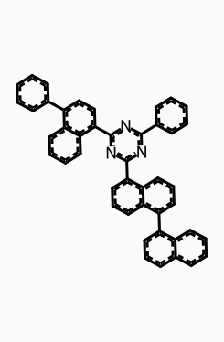 c1ccc(-c2nc(-c3ccc(-c4ccccc4)c4ccccc34)nc(-c3cccc4c(-c5cccc6ccccc56)cccc34)n2)cc1